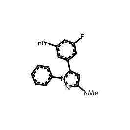 CCCc1cc(F)cc(-c2cc(NC)nn2-c2ccccc2)c1